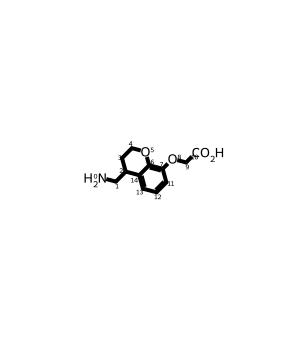 NCC1CCOc2c(OCC(=O)O)cccc21